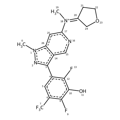 Cn1nc(-c2cc(C(F)(F)F)c(F)c(O)c2F)c2cnc(/[N+](C)=C3/CCOC3)cc21